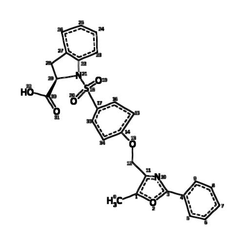 Cc1oc(-c2ccccc2)nc1COc1ccc(S(=O)(=O)N2c3ccccc3C[C@@H]2C(=O)O)cc1